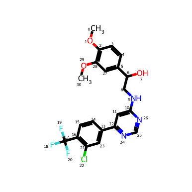 COc1ccc(C(O)CNc2cc(-c3ccc(C(F)(F)F)c(Cl)c3)ncn2)cc1OC